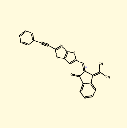 N#CC(C#N)=C1/C(=C/c2cc3sc(C#Cc4ccccc4)nc3s2)C(=O)c2ccccc21